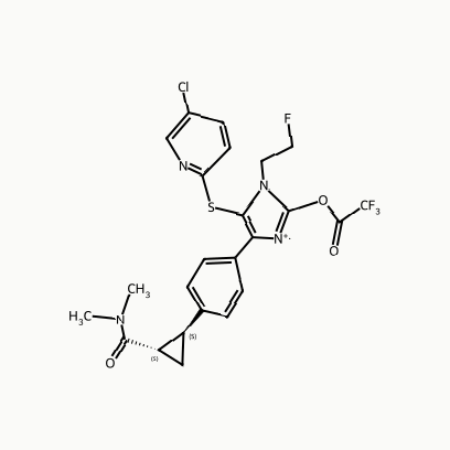 CN(C)C(=O)[C@H]1C[C@@H]1c1ccc(C2=C(Sc3ccc(Cl)cn3)N(CCF)C(OC(=O)C(F)(F)F)=[N+]2)cc1